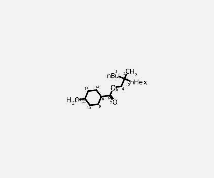 CCCCCCC(C)(CCCC)COC(=O)C1CCC(C)CC1